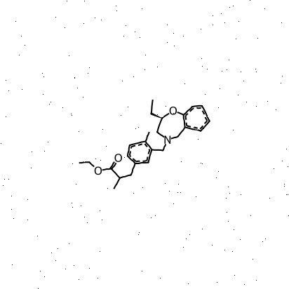 CCOC(=O)C(C)Cc1ccc(C)c(CN2Cc3ccccc3O[C@H](CC)C2)c1